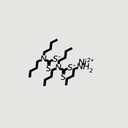 CCCCN.CCCCN(CCCC)C(=S)[S-].CCCCN(CCCC)C(=S)[S-].[Ni+2]